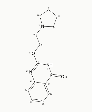 O=c1[nH]c(OCCN2CCCC2)nc2ccccc12